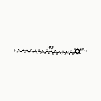 Cl.NCCOCCOCCOCCOCCOCCOCCOCCOCCOc1ccc([N+](=O)[O-])cc1